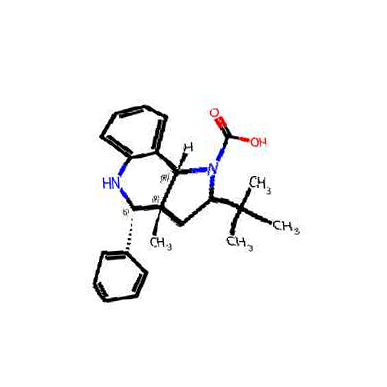 CC(C)(C)C1C[C@@]2(C)[C@H](c3ccccc3N[C@H]2c2ccccc2)N1C(=O)O